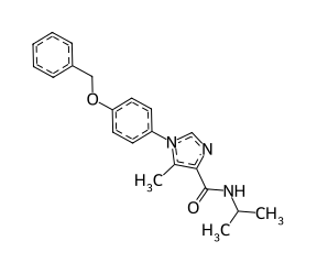 Cc1c(C(=O)NC(C)C)ncn1-c1ccc(OCc2ccccc2)cc1